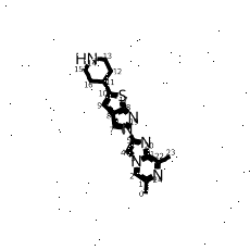 Cc1cn2cc(-n3cc4cc(C5CCNCC5)sc4n3)nc2c(C)n1